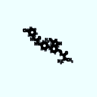 CN(C)C(=O)/C=C/c1ccc(-c2ccc(NC(=O)Nc3cccc(Cl)c3)cc2)c2c(N)n[nH]c12